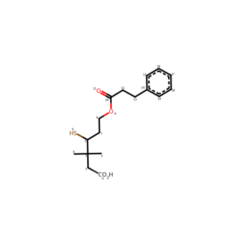 CC(C)(CC(=O)O)C(S)CCOC(=O)CCc1ccccc1